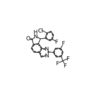 O=C1NC(c2cc(F)ccc2Cl)c2c1ccc1cnc(-c3cc(F)cc(C(F)(F)F)c3)nc21